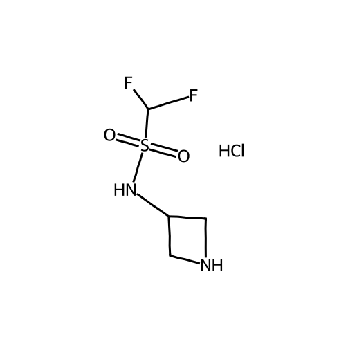 Cl.O=S(=O)(NC1CNC1)C(F)F